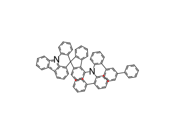 c1ccc(-c2cccc(-c3ccccc3N(c3ccccc3-c3ccccc3)c3cccc4c3-c3ccccc3C43c4ccccc4-n4c5ccccc5c5cccc3c54)c2)cc1